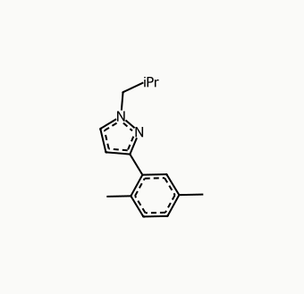 Cc1ccc(C)c(-c2ccn(CC(C)C)n2)c1